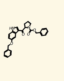 O=C(c1c[nH]c2ccc(OCc3ccccc3)cc12)C1CCCN1C(=O)OCc1ccccc1